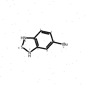 CC(C)(C)c1ccc2c(c1)NSN2